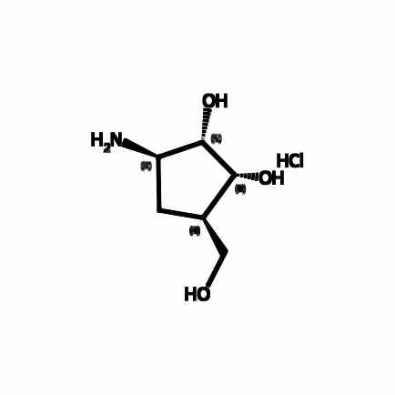 Cl.N[C@@H]1C[C@H](CO)[C@@H](O)[C@H]1O